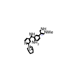 CN/C=C(\C=N)c1ccc(N)c(C(=N)c2ccnc(N3CC4CCC(C3)O4)c2)c1